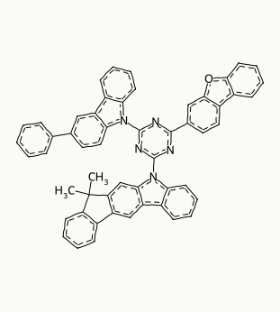 CC1(C)c2ccccc2-c2cc3c4ccccc4n(-c4nc(-c5ccc6c(c5)oc5ccccc56)nc(-n5c6ccccc6c6cc(-c7ccccc7)ccc65)n4)c3cc21